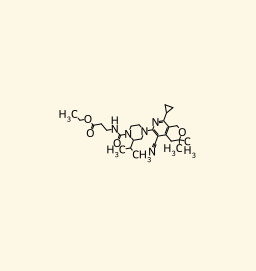 CCOC(=O)CCNC(=O)N1CCN(c2nc(C3CC3)c3c(c2C#N)CC(C)(C)OC3)CC1C(C)C